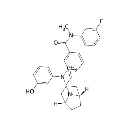 C=CCN1[C@@H]2CC[C@H]1C[C@@H](N(c1cccc(O)c1)c1cccc(C(=O)N(C)c3cccc(F)c3)c1)C2